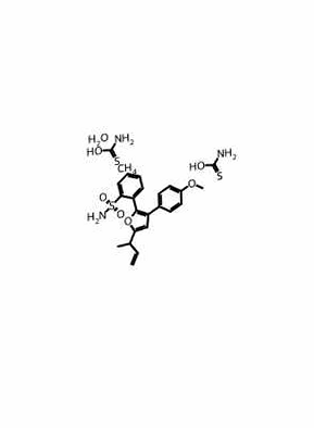 C.C=CC(C)c1cc(-c2ccc(OC)cc2)c(-c2ccccc2S(N)(=O)=O)o1.NC(O)=S.NC(O)=S.O